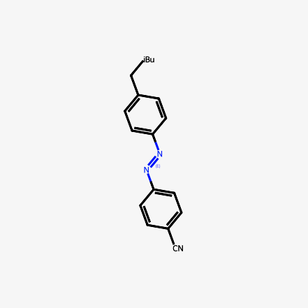 CCC(C)Cc1ccc(/N=N/c2ccc(C#N)cc2)cc1